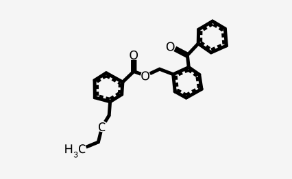 CCCCc1cccc(C(=O)OCc2ccccc2C(=O)c2ccccc2)c1